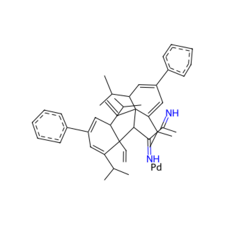 C=CC1(C(C(=N)C(C)=N)C2(C=C)C(C(C)C)=CC(c3ccccc3)=CC2C(C)C)C(C(C)C)=CC(c2ccccc2)=CC1C(C)C.[Pd]